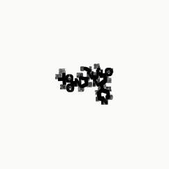 CCN(c1nc(-c2ccncc2)cc(=O)n1C)C1CCN(C(=O)OC(C)(C)C)C1